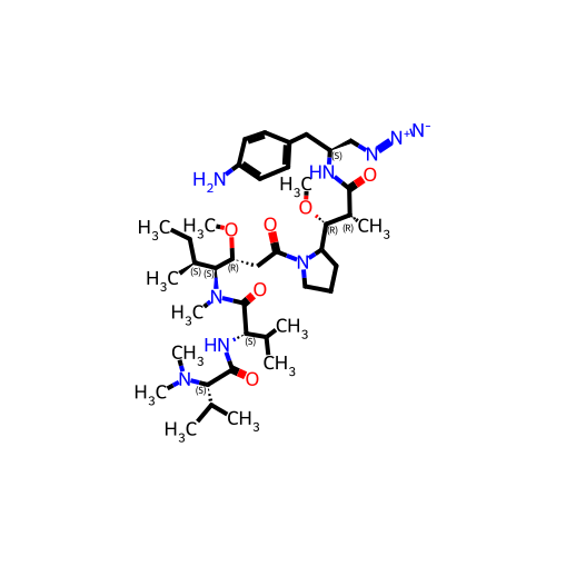 CC[C@H](C)[C@@H]([C@@H](CC(=O)N1CCCC1[C@H](OC)[C@@H](C)C(=O)N[C@H](CN=[N+]=[N-])Cc1ccc(N)cc1)OC)N(C)C(=O)[C@@H](NC(=O)[C@H](C(C)C)N(C)C)C(C)C